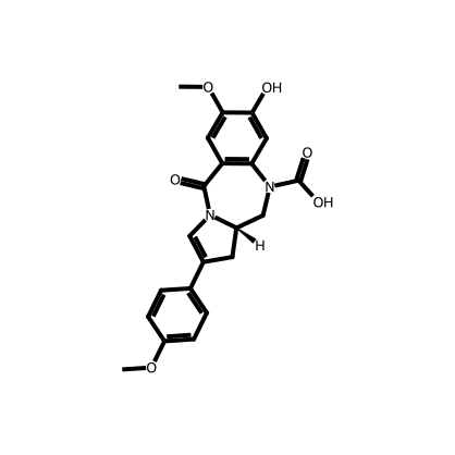 COc1ccc(C2=CN3C(=O)c4cc(OC)c(O)cc4N(C(=O)O)C[C@@H]3C2)cc1